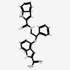 N=C(N)c1cc2c(OC(COC(=O)c3cc4ccccc4[nH]3)c3ccccc3)cccc2s1